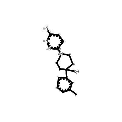 Cc1cccc(C2(O)CCN(c3ccc(O)nn3)CC2)c1